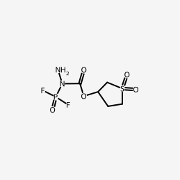 NN(C(=O)OC1CCS(=O)(=O)C1)P(=O)(F)F